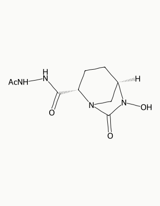 CC(=O)NNC(=O)[C@@H]1CC[C@@H]2CN1C(=O)N2O